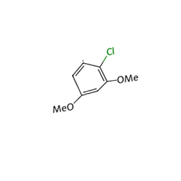 COc1c[c]c(Cl)c(OC)c1